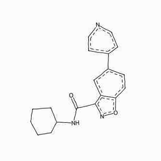 O=C(NC1CCCCC1)c1noc2ccc(-c3ccncc3)cc12